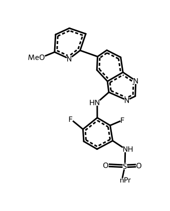 CCCS(=O)(=O)Nc1ccc(F)c(Nc2ncnc3ccc(-c4cccc(OC)n4)cc23)c1F